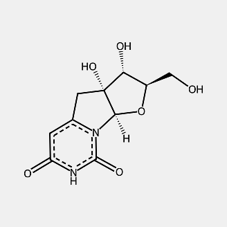 O=c1cc2n(c(=O)[nH]1)[C@@H]1O[C@H](CO)[C@@H](O)[C@]1(O)C2